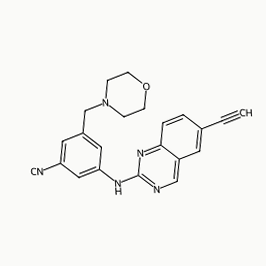 [C-]#[N+]c1cc(CN2CCOCC2)cc(Nc2ncc3cc(C#C)ccc3n2)c1